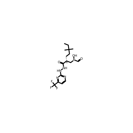 CCC(C)(C)CC[C@H](CN(O)C=O)C(=O)NNc1nccc(C(F)(F)F)n1